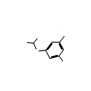 CCC(Oc1cc(C(=O)O)cc(C(=O)O)c1)S(=O)(=O)O.[NaH]